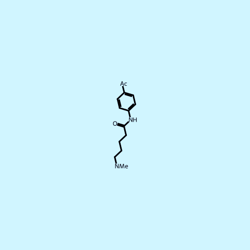 CNCCCCC(=O)Nc1ccc(C(C)=O)cc1